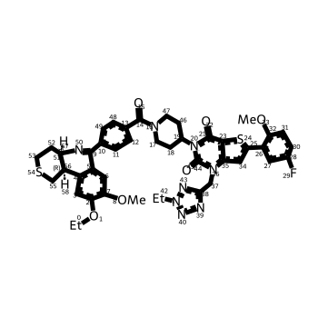 CCOc1cc2c(cc1OC)C(c1ccc(C(=O)N3CCC(n4c(=O)c5sc(-c6cc(F)ccc6OC)cc5n(Cc5nnn(CC)n5)c4=O)CC3)cc1)=N[C@@H]1CCSC[C@H]21